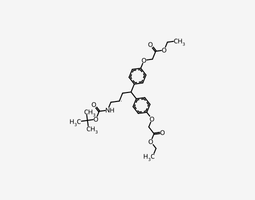 CCOC(=O)COc1ccc(C(C[CH]CNC(=O)OC(C)(C)C)c2ccc(OCC(=O)OCC)cc2)cc1